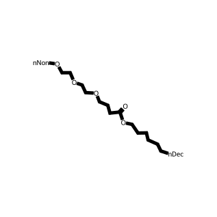 CCCCCCCCCCCCCCCCOC(=O)CCCOCCOCCOCCCCCCCCC